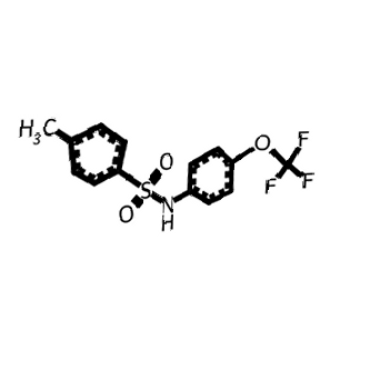 Cc1ccc(S(=O)(=O)Nc2ccc(OC(F)(F)F)cc2)cc1